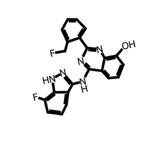 Oc1cccc2c(Nc3n[nH]c4c(F)cccc34)nc(-c3ccccc3CF)nc12